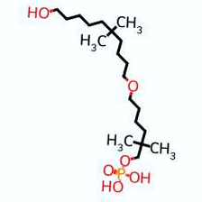 CC(C)(CCCCCO)CCCCOCCCCC(C)(C)COP(=O)(O)O